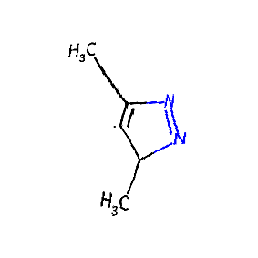 CC1=[C]C(C)N=N1